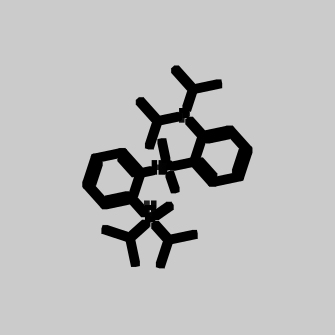 CC(C)P(c1ccccc1[PH](C)(C)c1ccccc1[PH](C)(C(C)C)C(C)C)C(C)C